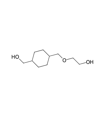 OCCOCC1CCC(CO)CC1